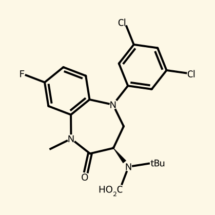 CN1C(=O)[C@H](N(C(=O)O)C(C)(C)C)CN(c2cc(Cl)cc(Cl)c2)c2ccc(F)cc21